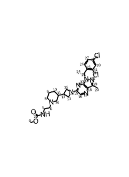 COC(=O)NCCN1CCCC(C2CN(c3cnc4c(C)nn([C@H](C)c5ccc(Cl)cc5Cl)c4n3)C2)C1